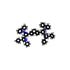 c1ccc(-c2cc(-c3ccccc3)nc(-c3cc(-c4ccc5c(c4)CCc4cc(-c6cc(-c7cc(-c8ccccc8)cc(-c8ccccc8)n7)cc(-n7c8ccccc8c8ccccc87)c6)ccc4-5)cc(-n4c5ccccc5c5ccccc54)c3)c2)cc1